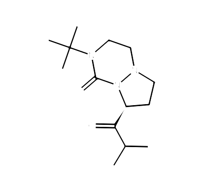 CC(C)C(=O)[C@@H]1CCN2CCN(C(C)(C)C)C(=O)N12